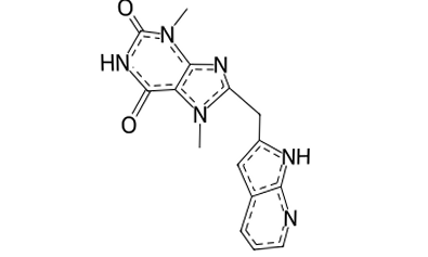 Cn1c(Cc2cc3cccnc3[nH]2)nc2c1c(=O)[nH]c(=O)n2C